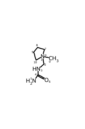 C[N+]1(CNC(N)=O)CCCC1